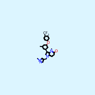 Cc1cc(Oc2ccc(C(F)(F)F)cc2)cc(-c2cn(Cc3cnn(C)c3)c3ccc(=O)n(C)c23)c1